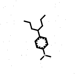 CCCC(CCC)c1ccc(N(C)C)cc1